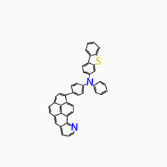 c1ccc(N(c2ccc(-c3ccc4ccc5cc6cccnc6c6ccc3c4c56)cc2)c2ccc3c(c2)sc2ccccc23)cc1